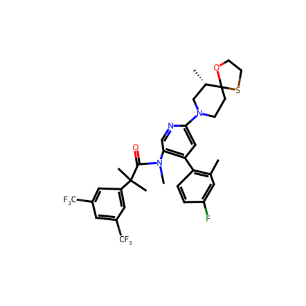 Cc1cc(F)ccc1-c1cc(N2CCC3(OCCS3)[C@@H](C)C2)ncc1N(C)C(=O)C(C)(C)c1cc(C(F)(F)F)cc(C(F)(F)F)c1